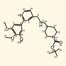 COc1cc(-c2cc(CNCC3CCN(C(=O)OC(C)(C)C)CC3)ccn2)cc(OC)c1OC